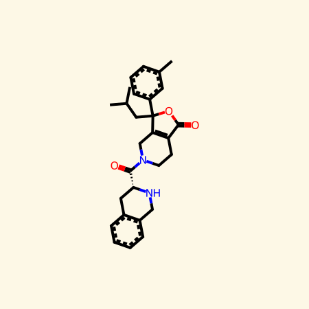 Cc1cccc(C2(CC(C)C)OC(=O)C3=C2CN(C(=O)[C@H]2Cc4ccccc4CN2)CC3)c1